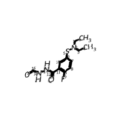 CCN(CC)Sc1ccc(F)c(C(=O)NNC=O)c1